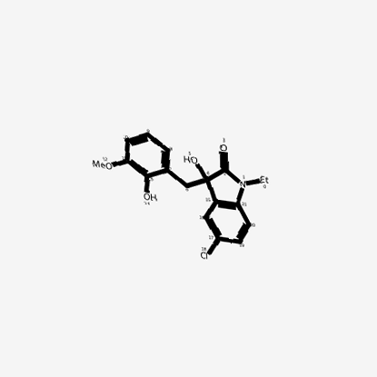 CCN1C(=O)C(O)(Cc2cccc(OC)c2O)c2cc(Cl)ccc21